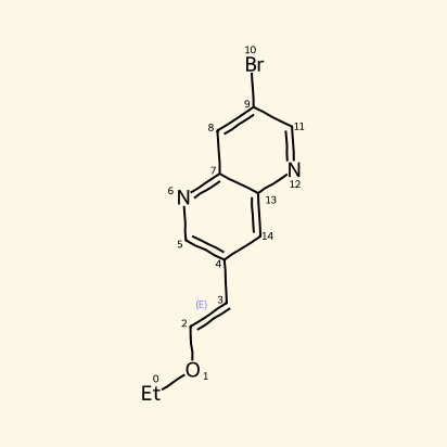 CCO/C=C/c1cnc2cc(Br)cnc2c1